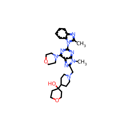 Cc1nc2ccccc2n1-c1nc(N2CCOCC2)c2nc(CN3CCC(C4(O)CCOCC4)CC3)n(C)c2n1